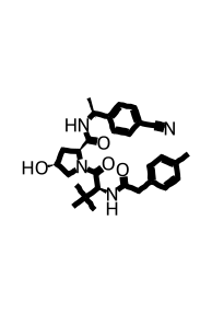 Cc1ccc(CC(=O)N[C@H](C(=O)N2C[C@H](O)C[C@H]2C(=O)N[C@@H](C)c2ccc(C#N)cc2)C(C)(C)C)cc1